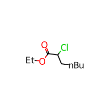 CCCCCC(Cl)C(=O)OCC